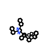 CC1(C)c2c(cccc2-c2ccc(-c3cc(-c4ccc5ccccc5c4)nc(-c4cccc5ccccc45)n3)c3ccccc23)-c2ccc3ccccc3c21